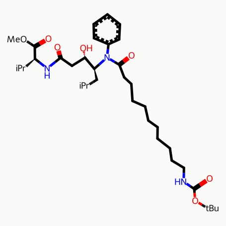 COC(=O)[C@@H](NC(=O)C[C@H](O)[C@H](CC(C)C)N(C(=O)CCCCCCCCCCNC(=O)OC(C)(C)C)c1ccccc1)C(C)C